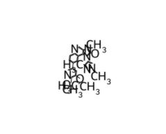 CCn1cc(-n2c(=O)n(C)c3cnc4ccc(-c5cnc(COC)c(OC(C)C)c5)cc4c32)c(C)n1